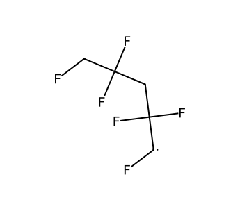 F[CH]C(F)(F)CC(F)(F)CF